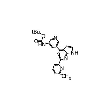 Cc1cccc(-c2nc(-c3cncc(NC(=O)OC(C)(C)C)c3)c3cc[nH]c3n2)n1